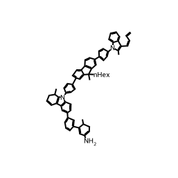 C=C/C=C\c1c(C)n(-c2ccc(-c3ccc4c(c3)C(C)(CCCCCC)c3cc(-c5ccc(-n6c7c(c8cc(-c9cccc(C%10=CC(N)=CCC%10C)c9)ccc86)C=CCC7C)cc5)ccc3-4)cc2)c2ccccc12